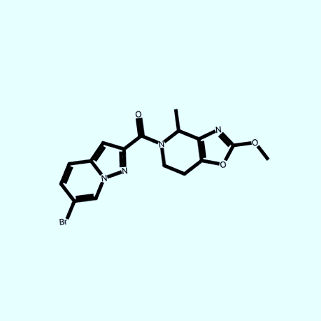 COc1nc2c(o1)CCN(C(=O)c1cc3ccc(Br)cn3n1)C2C